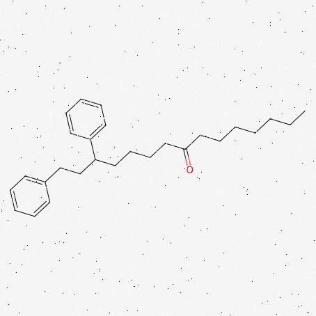 CCCCCCCC(=O)CCCCC(CCc1ccccc1)c1ccccc1